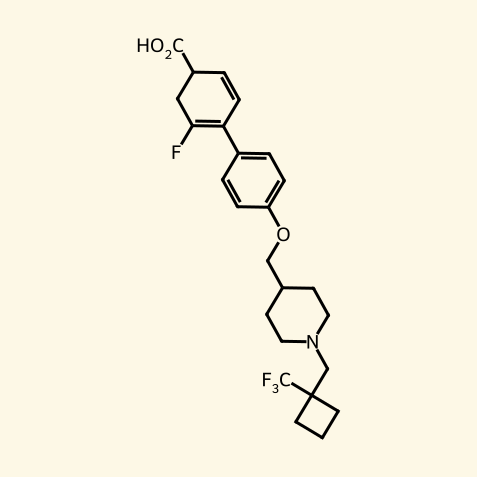 O=C(O)C1C=CC(c2ccc(OCC3CCN(CC4(C(F)(F)F)CCC4)CC3)cc2)=C(F)C1